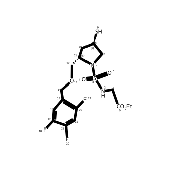 CCOC(=O)CNS(=O)(=O)N1C[C@H](S)C[C@H]1COCc1cc(F)c(F)cc1F